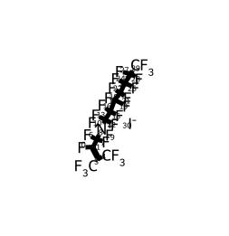 FC(=C(C(F)(F)F)C(F)(F)F)C(F)(F)[N+](F)(F)C(F)(F)C(F)(F)C(F)(F)C(F)(F)C(F)(F)C(F)(F)C(F)(F)F.[I-]